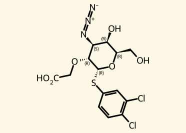 [N-]=[N+]=N[C@H]1[C@@H](O)[C@@H](CO)O[C@H](Sc2ccc(Cl)c(Cl)c2)[C@@H]1OCC(=O)O